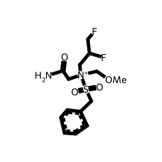 COC[N+](CC(N)=O)(CC(F)CF)S(=O)(=O)Cc1ccccc1